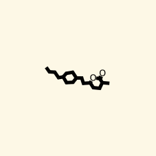 CCCCC1CCC(CCC2CCC(C)C(=O)O2)CC1